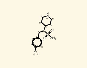 NS(=O)(=O)N(Cc1ccc(C(F)(F)F)cc1)C1CCNCC1